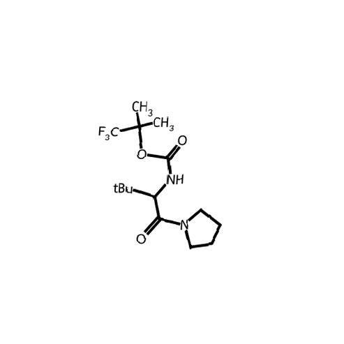 CC(C)(C)C(NC(=O)OC(C)(C)C(F)(F)F)C(=O)N1CCCC1